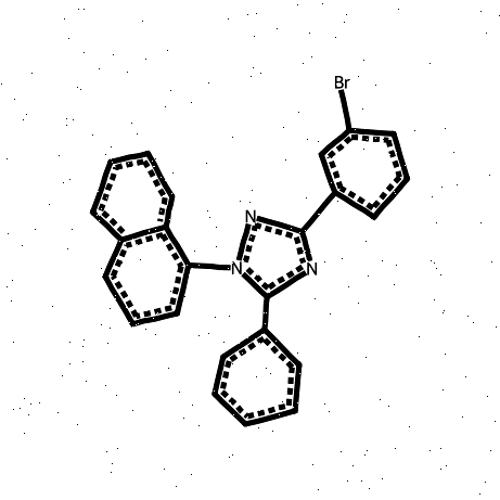 Brc1cccc(-c2nc(-c3ccccc3)n(-c3cccc4ccccc34)n2)c1